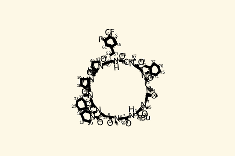 CC[C@H](C)[C@@H]1NC(=O)[C@H](C)N(C)C(=O)C[C@@H](C(=O)N2CCCCC2)N(C)C(=O)[C@H](C2CCCCC2)N(C)C(=O)C2(CCCC2)NC(=O)[C@@H]2CCCN2C(=O)[C@H](CCc2ccc(C(F)(F)F)c(F)c2)NC(=O)CN(C)C(=O)[C@H](CC2CCCCC2)N(C)C(=O)CN(C)C(=O)CN(C)C1=O